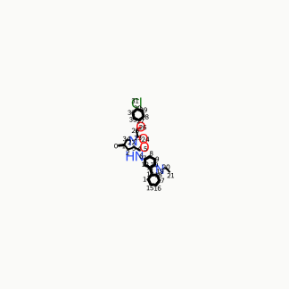 C=C1CC(C(=O)Nc2ccc3c(c2)c2ccccc2n3CC)N(C(=O)COc2ccc(Cl)cc2)C1